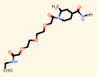 CCCNC(=O)C1CCN(C(=O)COCCOCCOCC(=O)NCC=O)C(C)C1